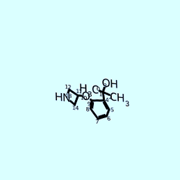 CC(C)(O)c1ccccc1OC1CNC1